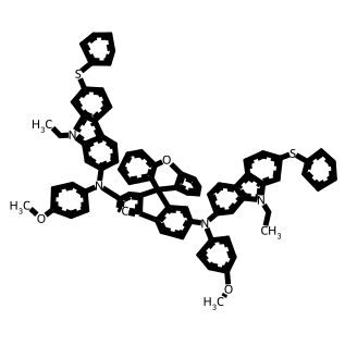 CCn1c2cc(Sc3ccccc3)ccc2c2ccc(N(c3ccc(OC)cc3)c3ccc4c(c3)C3(c5ccccc5Oc5ccccc53)c3cc(N(c5ccc(OC)cc5)c5ccc6c7ccc(Sc8ccccc8)cc7n(CC)c6c5)ccc3-4)cc21